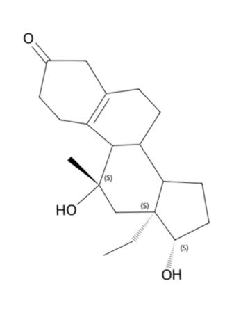 CC[C@]12C[C@](C)(O)C3C4=C(CCC3C1CC[C@@H]2O)CC(=O)CC4